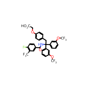 O=C(O)COc1ccc(CC(NC(=O)c2ccc(F)c(C(F)(F)F)c2)(c2cccc(OC(F)(F)F)c2)c2cccc(OC(F)(F)F)c2)cc1